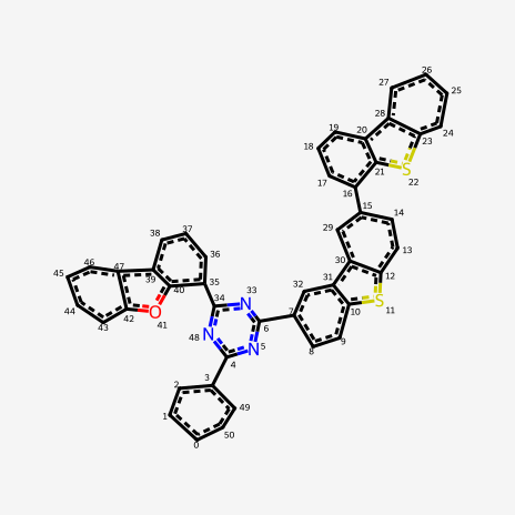 c1ccc(-c2nc(-c3ccc4sc5ccc(-c6cccc7c6sc6ccccc67)cc5c4c3)nc(-c3cccc4c3oc3ccccc34)n2)cc1